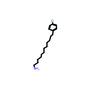 NCCCCCCCCCCCCc1ccc(Cl)cc1